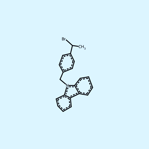 CC(Br)c1ccc(Cn2c3ccccc3c3ccccc32)cc1